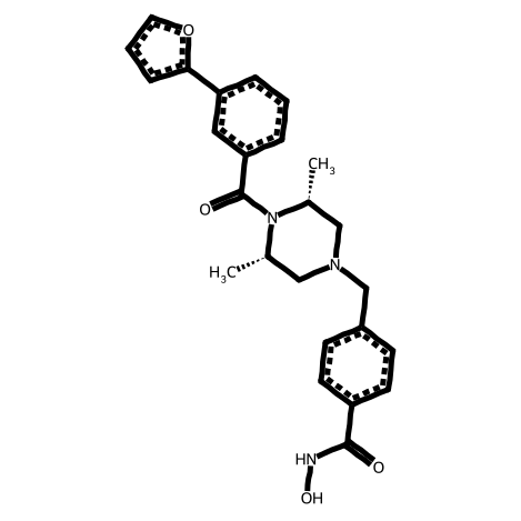 C[C@@H]1CN(Cc2ccc(C(=O)NO)cc2)C[C@H](C)N1C(=O)c1cccc(-c2ccco2)c1